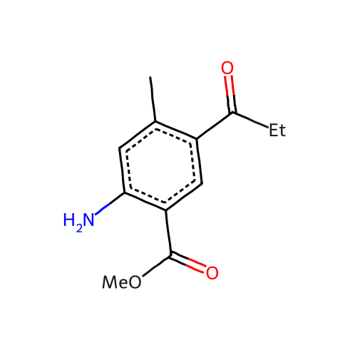 CCC(=O)c1cc(C(=O)OC)c(N)cc1C